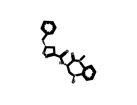 CN1C(=O)[C@@H](NC(=O)C2=NO[C@H](Cc3ccccc3)C2)C[S@+]([O-])c2ccccc21